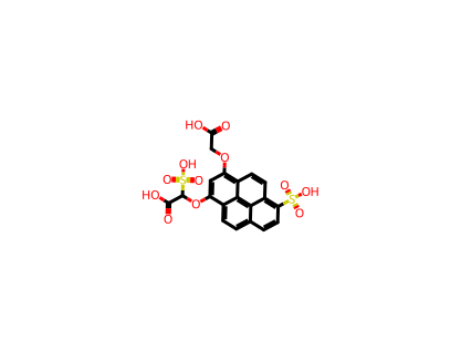 O=C(O)COc1cc(OC(C(=O)O)S(=O)(=O)O)c2ccc3ccc(S(=O)(=O)O)c4ccc1c2c34